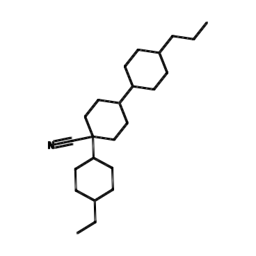 CCCC1CCC(C2CCC(C#N)(C3CCC(CC)CC3)CC2)CC1